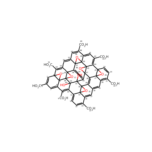 O=C(O)C1=CC23OC24C(=C1)C(C(=O)O)=C1C2=CC=C(C(=O)O)C5=CC6=CC7=C(C(=O)O)C=CC89OC78C7=C6C6(OC526)C2(O)C5=C6C8%10OC8%11C(=CC(C(=O)O)=C9C%118OC758)C(C(=O)O)=CC%10=CC(=C3C(=O)O)C63OC34C12O